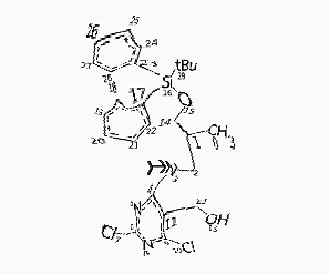 CC(CNc1nc(Cl)nc(Cl)c1CO)CO[Si](c1ccccc1)(c1ccccc1)C(C)(C)C